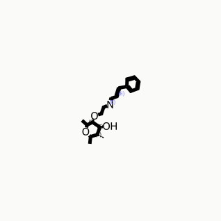 CC1OC(C)[C@@H](OCC/N=C/C=C/c2ccccc2)[C@@H](O)[C@@H]1C